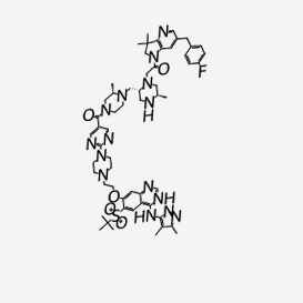 Cc1n[nH]c(Nc2ncnc3cc(OCCN4CCN(c5ncc(C(=O)N6CCN(C[C@H]7CN[C@H](C)CN7CC(=O)N7CC(C)(C)c8ncc(Cc9ccc(F)cc9)cc87)[C@H](C)C6)cn5)CC4)c(S(=O)(=O)C(C)(C)C)cc23)c1C